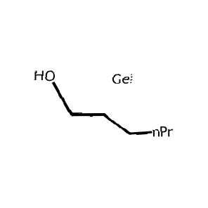 CCCCCCO.[Ge]